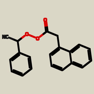 N#CC(OOC(=O)Cc1cccc2ccccc12)c1ccccc1